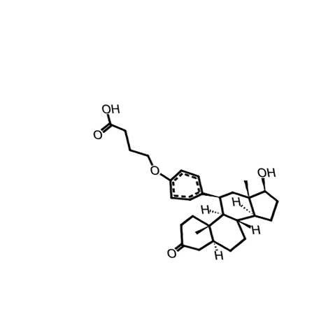 C[C@]12CCC(=O)C[C@@H]1CC[C@@H]1[C@@H]2[C@@H](c2ccc(OCCCC(=O)O)cc2)C[C@]2(C)[C@@H](O)CC[C@@H]12